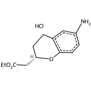 CCOC(=O)C[C@@H]1CCc2cc(N)ccc2O1.Cl